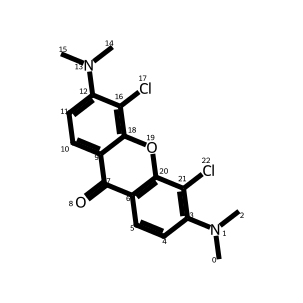 CN(C)c1ccc2c(=O)c3ccc(N(C)C)c(Cl)c3oc2c1Cl